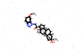 CC[C@]12CC[C@@](C)(O)C[C@H]1CC[C@H]1[C@@H]3CC[C@H](C(=O)Cn4nnc5ccc(OC)cc54)[C@@]3(C)CC[C@@H]12